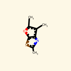 Cc1nc2c(C)c(C)oc2s1